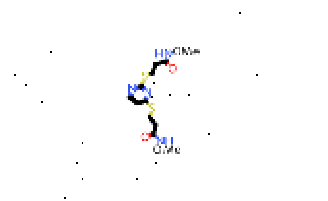 CONC(=O)CCSc1ccnc(SCCC(=O)NOC)n1